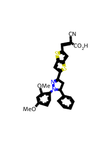 COc1ccc(N2N=C(c3cc4sc(/C=C(/C#N)C(=O)O)cc4s3)CC2c2ccccc2)c(OC)c1